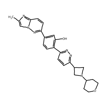 Cc1cn2nc(-c3ccc(-c4ccc(C5CN(C6CCOCC6)C5)nn4)c(O)c3)ccc2n1